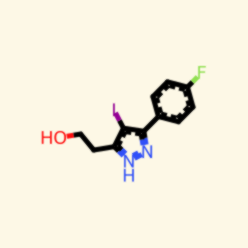 OCCc1[nH]nc(-c2ccc(F)cc2)c1I